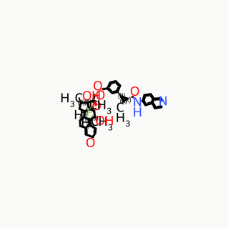 C[C@H]1[C@@H](C(=O)Nc2ccc3cnccc3c2)[C@@H]1c1cccc(C(=O)OCC(=O)[C@@]2(O)[C@H](C)C[C@H]3[C@@H]4CCC5=CC(=O)C=C[C@]5(C)[C@@]4(F)[C@@H](O)C[C@@]32C)c1